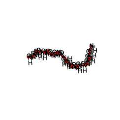 CC(=O)Nc1cn(C)c(C(=O)Nc2cn(C)c(C(=O)NCCC(=O)Nc3cn(C)c(C(=O)Nc4cc(C(=O)Nc5cn(C)c(C(=O)NCCCC(=O)Nc6cc(C(=O)Nc7cc(C(=O)Nc8cc(C(=O)NCCC(=O)Nc9cc(C(=O)Nc%10cc(C(=O)NCCC(=O)NCCCN(C)C)n(C)c%10)n(C)c9)n(C)c8)n(C)c7)n(C)c6)n5)n(C)c4)n3)n2)n1